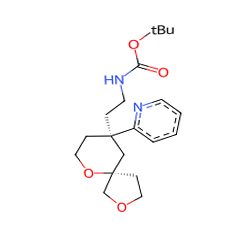 CC(C)(C)OC(=O)NCC[C@@]1(c2ccccn2)CCO[C@@]2(CCOC2)C1